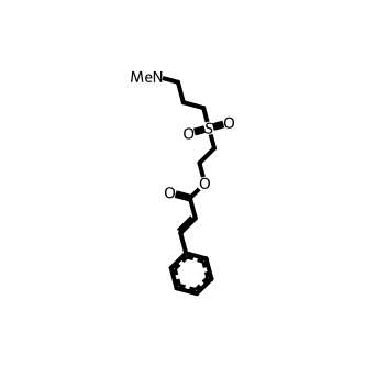 CNCCCS(=O)(=O)CCOC(=O)/C=C/c1ccccc1